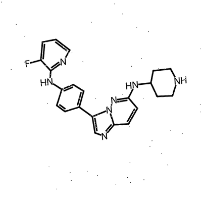 Fc1cccnc1Nc1ccc(-c2cnc3ccc(NC4CCNCC4)nn23)cc1